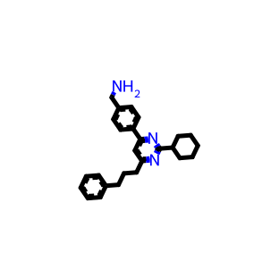 NCc1ccc(-c2cc(CCCc3ccccc3)nc(C3CCCCC3)n2)cc1